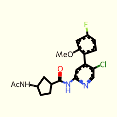 COc1cc(F)ccc1-c1cc(NC(=O)C2CCC(NC(C)=O)C2)ncc1Cl